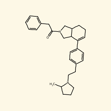 CC1CCCN1CCc1ccc(C2=CCCC3CN(C(=O)Cc4ccccc4)CC23)cc1